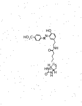 O=C(CCCC[C@@H]1SC[C@@H]2NC(=O)N[C@@H]21)NCCc1ccc(O)c(N=Nc2ccc(C(=O)O)cc2)c1